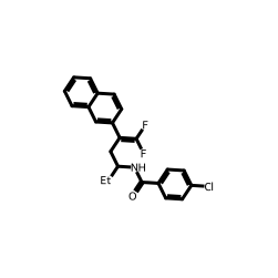 CCC(CC(=C(F)F)c1ccc2ccccc2c1)NC(=O)c1ccc(Cl)cc1